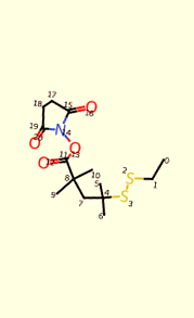 CCSSC(C)(C)CC(C)(C)C(=O)ON1C(=O)CCC1=O